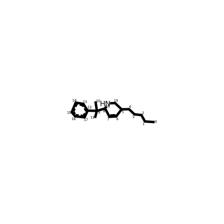 CCCCCC1C=CC(C(C)(C)c2ccccc2)NC1